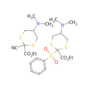 CCOC(=O)C1(C#N)SCC(N(C)C)CS1.CCOC(=O)C1(S(=O)(=O)c2ccccc2)SCC(N(C)C)CS1